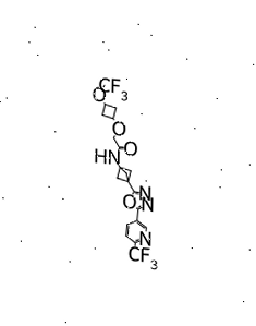 O=C(CO[C@H]1C[C@@H](OC(F)(F)F)C1)NC12CC(c3nnc(-c4ccc(C(F)(F)F)nc4)o3)(C1)C2